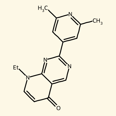 CCn1ccc(=O)c2cnc(-c3cc(C)nc(C)c3)nc21